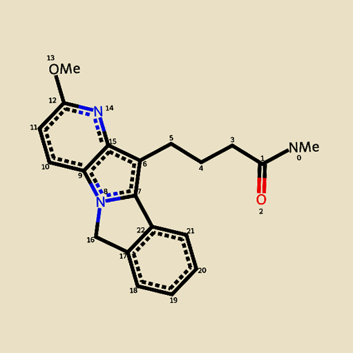 CNC(=O)CCCc1c2n(c3ccc(OC)nc13)Cc1ccccc1-2